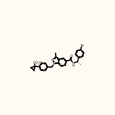 Cc1nn(Cc2ccc(C3(C(=O)O)CC3)cc2)c2ccc(C(=O)N[C@@H](C)c3ccc(Br)cc3)cc12